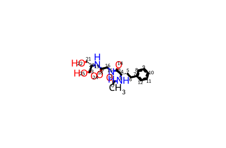 CC(=O)N[C@@H](CCc1ccccc1)C(=O)NCC(=O)N[C@@H](CO)C(=O)O